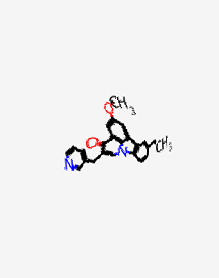 CCc1ccc2c(c1)c1cc(OC)cc3c(=O)c(Cc4cccnc4)cn2c31